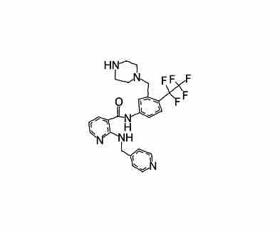 O=C(Nc1ccc(C(F)(F)C(F)(F)F)c(CN2CCNCC2)c1)c1cccnc1NCc1ccncc1